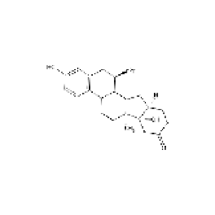 CCC[C@@H]1Cc2cc(O)ccc2C2CC[C@@]3(C)C(C[C@H]4CCC(=O)C[C@]43O)C21